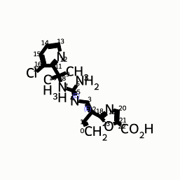 C=C/C(=C\N=C(/N)NC(C)(C)c1ncccc1Cl)c1ncc(C(=O)O)o1